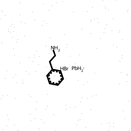 Br.NCCc1ccccc1.[PbH2]